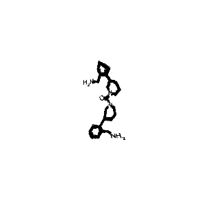 NCc1ccccc1C1CCCN(C(=O)N2CCCC(c3ccccc3CN)C2)C1